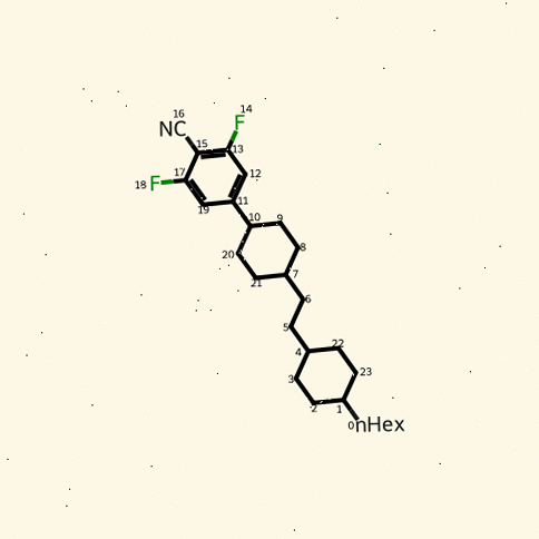 CCCCCCC1CCC(CCC2CCC(c3cc(F)c(C#N)c(F)c3)CC2)CC1